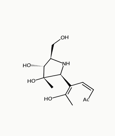 CC(=O)/C=C\C(=C(/C)O)[C@@H]1N[C@H](CO)[C@@H](O)[C@@]1(C)O